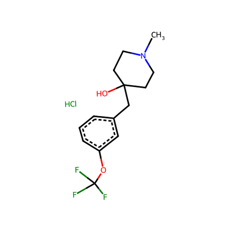 CN1CCC(O)(Cc2cccc(OC(F)(F)F)c2)CC1.Cl